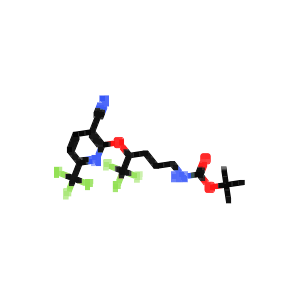 CC(C)(C)OC(=O)NCCCC(Oc1nc(C(F)(F)F)ccc1C#N)C(F)(F)F